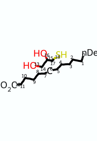 CCCCCCCCCCCCCCCCCCCCCC(=O)O.OCC(O)CS